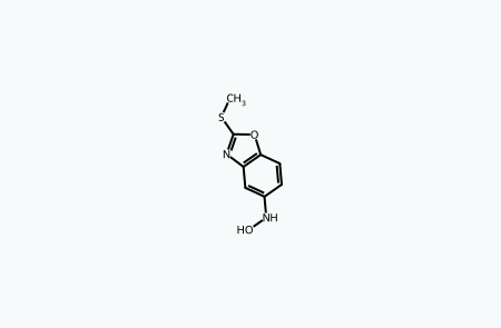 CSc1nc2cc(NO)ccc2o1